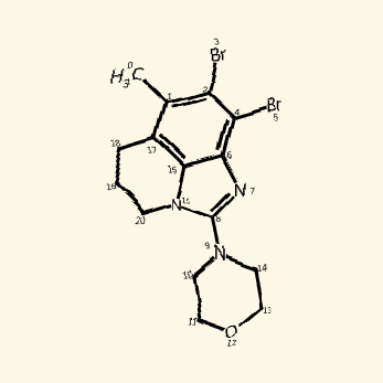 Cc1c(Br)c(Br)c2nc(N3CCOCC3)n3c2c1CCC3